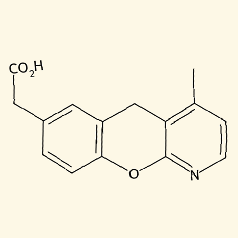 Cc1ccnc2c1Cc1cc(CC(=O)O)ccc1O2